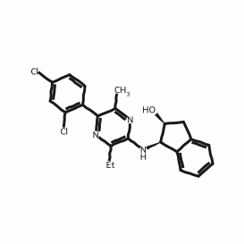 CCc1nc(-c2ccc(Cl)cc2Cl)c(C)nc1N[C@@H]1c2ccccc2C[C@@H]1O